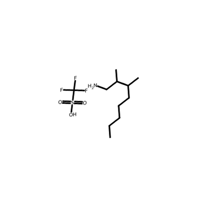 CCCCCC(C)C(C)CN.O=S(=O)(O)C(F)(F)F